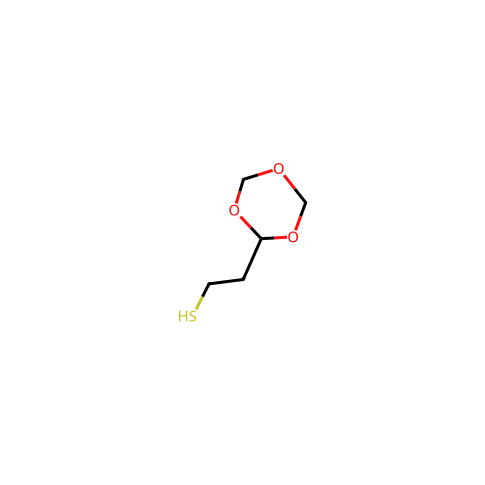 SCCC1OCOCO1